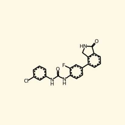 O=C(Nc1cccc(Cl)c1)Nc1ccc(-c2cccc3c2CNC3=O)cc1F